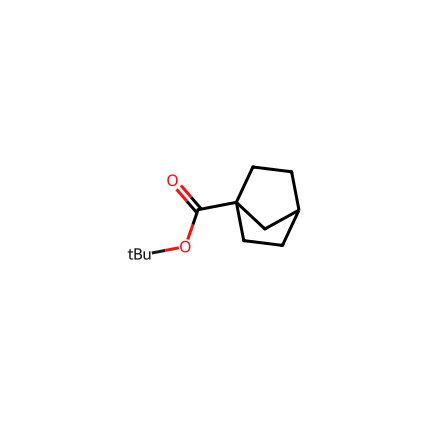 CC(C)(C)OC(=O)C12CCC(CC1)C2